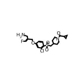 NCC(=CF)COc1ccc(S(=O)(=O)CC2CCN(C(=O)C3CC3)CC2)c(Cl)c1